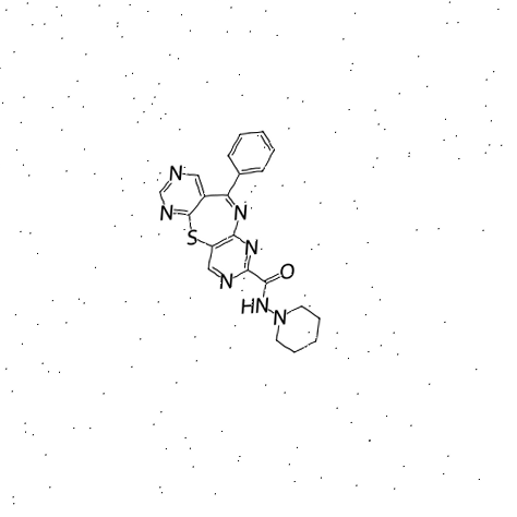 O=C(NN1CCCCC1)c1ncc2c(n1)N=C(c1ccccc1)c1cncnc1S2